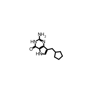 Nc1nc2c(CC3CCCC3)c[nH]c2c(=O)[nH]1